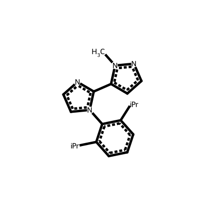 CC(C)c1cccc(C(C)C)c1-n1ccnc1-c1ccnn1C